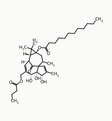 CCCCCCCCCCCC(=O)O[C@@]12CC(C)C34C=C(C)[C@H](O)[C@@]3(O)[C@H](O)C(COC(=O)CCC)=C[C@H](C4=O)[C@@H]1C2(C)C